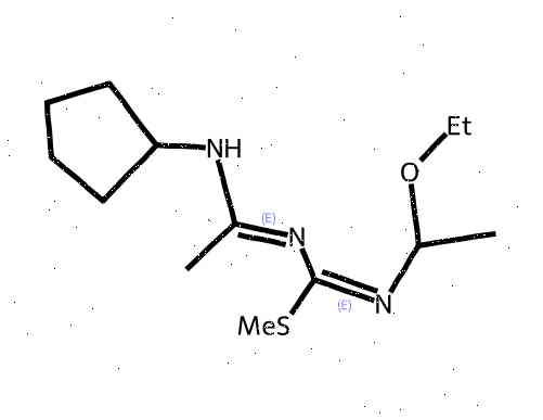 CCOC(C)/N=C(\N=C(/C)NC1CCCC1)SC